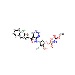 CC(C)(C)OC(=O)NS(=O)(=O)OC[C@H]1C[C@@H](Nc2ncncc2C(=O)c2cc(Cc3ccccc3)c(Cl)s2)[C@@H](F)[C@@H]1O